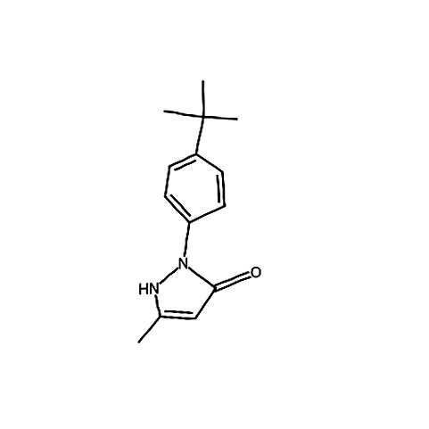 Cc1cc(=O)n(-c2ccc(C(C)(C)C)cc2)[nH]1